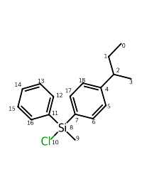 CCC(C)c1ccc([Si](C)(Cl)c2ccccc2)cc1